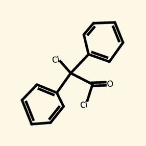 O=C(Cl)C(Cl)(c1ccccc1)c1ccccc1